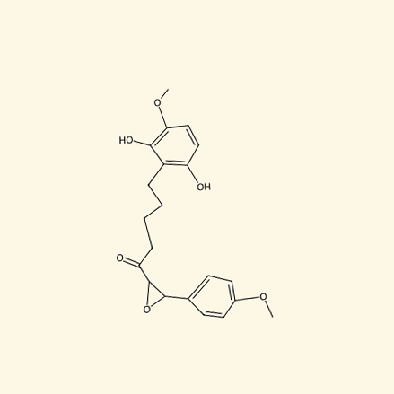 COc1ccc(C2OC2C(=O)CCCCc2c(O)ccc(OC)c2O)cc1